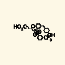 O=C(O)CC[C@H]1CN(S(=O)(=O)c2cccc(C(F)(F)F)c2)c2cc(C=C3CCC(O)CC3)ccc2O1